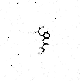 C#CC(C)Oc1ccccc1OC(=O)NC=C